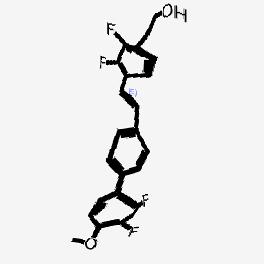 COc1ccc(-c2ccc(/C=C/c3ccc(CO)c(F)c3F)cc2)c(F)c1F